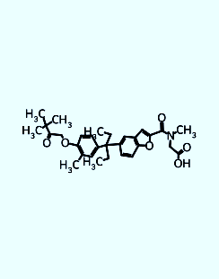 CCC(CC)(c1ccc(OCC(=O)C(C)(C)C)c(C)c1)c1ccc2oc(C(=O)N(C)CC(=O)O)cc2c1